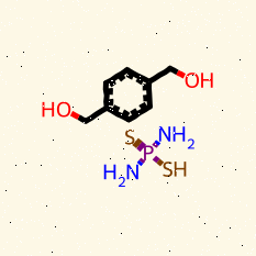 NP(N)(=S)S.OCc1ccc(CO)cc1